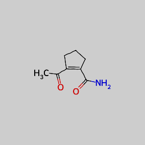 CC(=O)C1=C(C(N)=O)CCC1